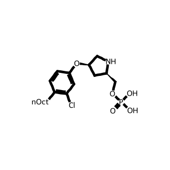 CCCCCCCCc1ccc(O[C@H]2CN[C@@H](COP(=O)(O)O)C2)cc1Cl